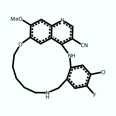 COc1cc2ncc(C#N)c3c2cc1OCCCCCNCc1cc(F)c(Cl)cc1N3